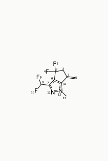 C=C1CC(F)(F)c2c(C(F)F)nn(C)c21